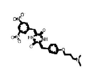 CN(C)CCCOc1ccc(/C=c2\[nH]c(=O)/c(=C/c3cc([N+](=O)[O-])cc([N+](=O)[O-])c3)[nH]c2=O)cc1